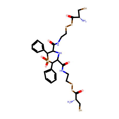 N[C@@H](CS)C(=O)SSCCNC(=O)C1NC(C(=O)NCCSSC(=O)[C@@H](N)CS)C(c2ccccc2)S(=O)(=O)C1c1ccccc1